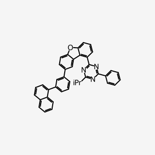 CC(C)c1nc(-c2ccccc2)nc(-c2cccc3oc4ccc(-c5cccc(-c6cccc7ccccc67)c5)cc4c23)n1